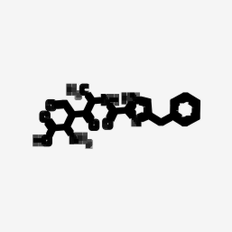 CC(NC(=O)c1nc(Cc2ccccc2)c[nH]1)C(=O)C(C=O)C(N)C(=O)O